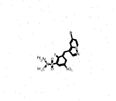 CN(N)S(=O)(=O)C1=C(F)C(=Cc2cnn3ccc(Br)cc23)CC([N+](=O)[O-])=C1